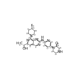 C[C@@H](O)c1cc2cnc(Nc3ccc(N4CCNCC4=O)cn3)nc2c(N2CCC(F)CC2)n1